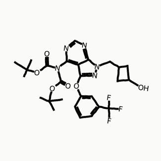 CC(C)(C)OC(=O)N(C(=O)OC(C)(C)C)c1ncnc2c1c(Oc1cccc(C(F)(F)F)c1)nn2CC1CC(O)C1